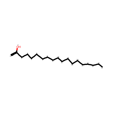 C=C(O)CCCCCCCCCCCCCCCCC